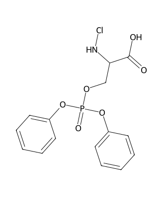 O=C(O)C(COP(=O)(Oc1ccccc1)Oc1ccccc1)NCl